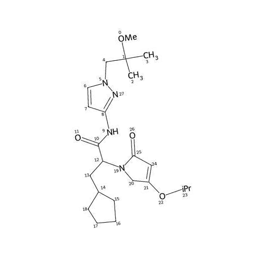 COC(C)(C)Cn1ccc(NC(=O)C(CC2CCCC2)N2CC(OC(C)C)=CC2=O)n1